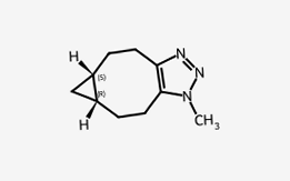 Cn1nnc2c1CC[C@@H]1C[C@@H]1CC2